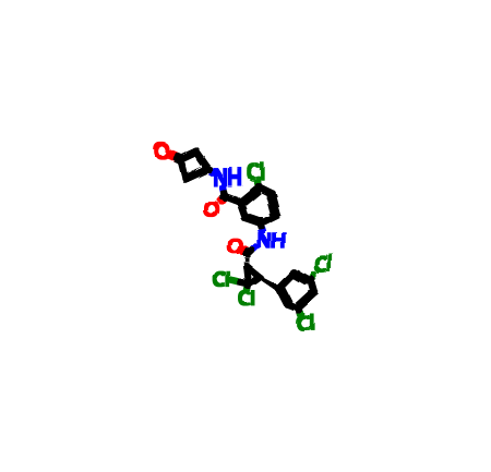 O=C1CC(NC(=O)c2cc(NC(=O)[C@@H]3[C@@H](c4cc(Cl)cc(Cl)c4)C3(Cl)Cl)ccc2Cl)C1